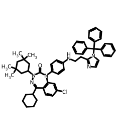 CC1(C)CC(N2N=C(C3CCCCC3)c3ccc(Cl)cc3N(c3ccc(NCCc4nccn4C(c4ccccc4)(c4ccccc4)c4ccccc4)cc3)C2=O)CC(C)(C)C1